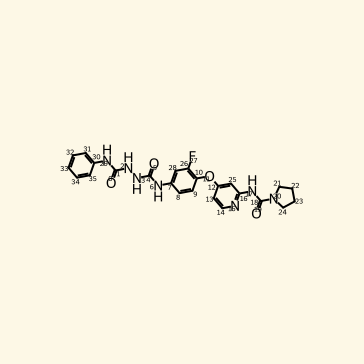 O=C(NNC(=O)Nc1ccc(Oc2ccnc(NC(=O)N3CCCC3)c2)c(F)c1)Nc1ccccc1